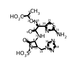 CC(O/N=C(\C(=O)N[C@@H]1C(=O)N(S(=O)(=O)O)[C@@H]1Cn1cncn1)c1csc(N)n1)C(=O)O